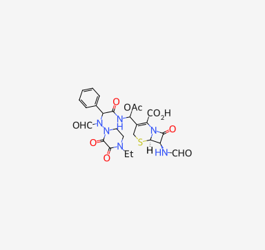 CCN1CCN(N(C=O)C(C(=O)NC(OC(C)=O)C2=C(C(=O)O)N3C(=O)[C@@H](NC=O)[C@H]3SC2)c2ccccc2)C(=O)C1=O